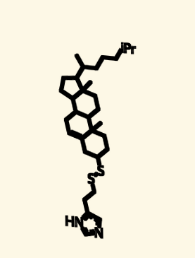 CC(C)CCCC(C)C1CCC2C3CC=C4CC(SSCCc5cnc[nH]5)CCC4(C)C3CCC12C